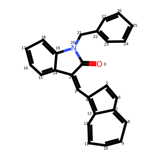 O=C1/C(=C\c2ccc3cccccc2-3)c2ccccc2N1Cc1ccccc1